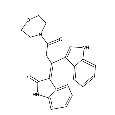 O=C1Nc2ccccc2C1=C(CC(=O)N1CCOCC1)c1c[nH]c2ccccc12